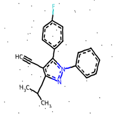 C#Cc1c(C(C)C)nn(-c2ccccc2)c1-c1ccc(F)cc1